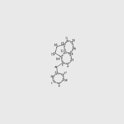 c1ccc(Cc2ccc3cccc4c3c2CC4)cc1